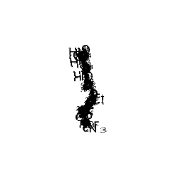 CCc1cc(N2C(=S)N(c3cnc(C#N)c(C(F)(F)F)c3)C(=O)C23CCC3)ccc1OCC[C@@H]1CCN(CC(=O)Nc2cccc(NC3CCC(=O)NC3=O)c2)C(C)(C)C1